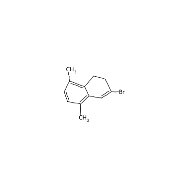 Cc1ccc(C)c2c1C=C(Br)CC2